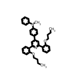 CCCCOc1ccccc1-c1cc(-c2ccc(N(C)c3ccccc3)cc2)cc(-c2ccccc2OCCCC)n1